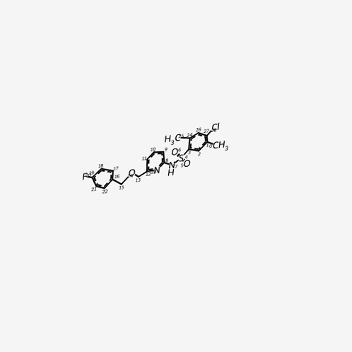 Cc1cc(S(=O)(=O)Nc2cccc(COCc3ccc(F)cc3)n2)c(C)cc1Cl